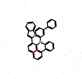 c1ccc(-c2cccc(N(c3ccccc3-c3ccccc3)c3ccccc3-c3cc4ccccc4o3)c2)cc1